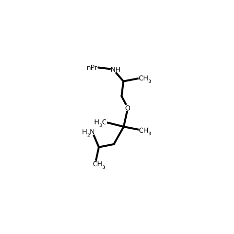 CCCNC(C)COC(C)(C)CC(C)N